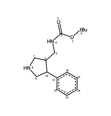 CC(C)(C)OC(=O)NCC1CNCC1c1ccccc1